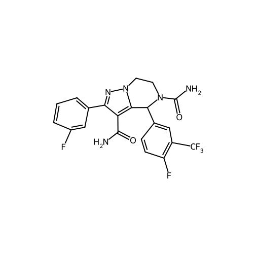 NC(=O)c1c(-c2cccc(F)c2)nn2c1C(c1ccc(F)c(C(F)(F)F)c1)N(C(N)=O)CC2